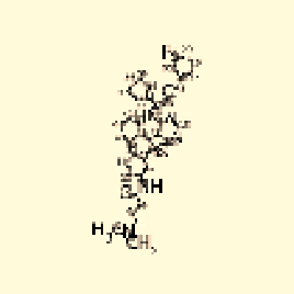 CN(C)C/C=C/C(=O)Nc1cccc(-c2oc3ncnc(N[C@H](COCc4cccc(F)c4)c4ccccc4)c3c2-c2ccccc2)c1